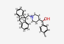 Cc1ccc([C@H](O)C2CCN(CC34CC(c5ccccc53)c3ccccc34)CC2)cc1